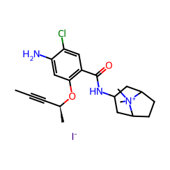 CC#C[C@H](C)Oc1cc(N)c(Cl)cc1C(=O)NC1CC2CCC(C1)[N+]2(C)C.[I-]